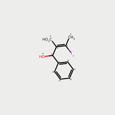 CC(I)=C(C(=O)O)C(O)c1ccccc1